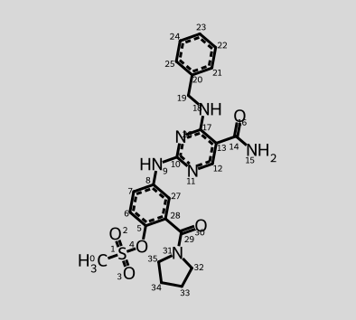 CS(=O)(=O)Oc1ccc(Nc2ncc(C(N)=O)c(NCc3ccccc3)n2)cc1C(=O)N1CCCC1